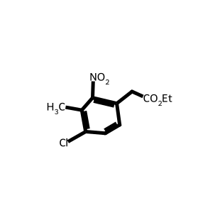 CCOC(=O)Cc1ccc(Cl)c(C)c1[N+](=O)[O-]